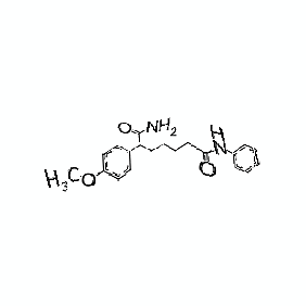 COc1ccc(C(CCCCC(=O)Nc2ccccc2)C(N)=O)cc1